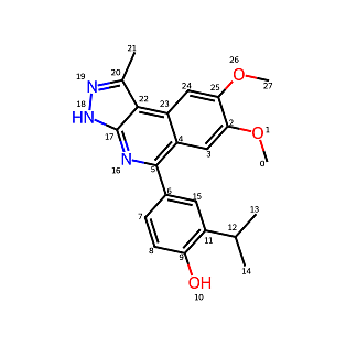 COc1cc2c(-c3ccc(O)c(C(C)C)c3)nc3[nH]nc(C)c3c2cc1OC